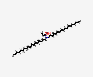 CCCCCCCCCCCCCCCCCCN(CCCCCCCCCCCCCCCCCC)C(O)CC